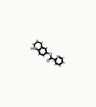 O=C(Oc1ccc2c(c1)CCCN2)c1ccccn1